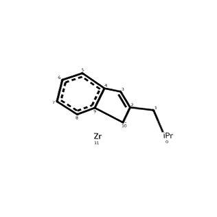 CC(C)CC1=Cc2ccccc2[CH]1.[Zr]